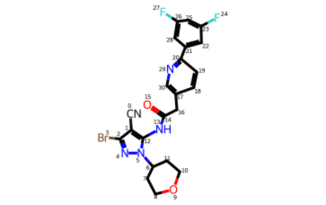 N#Cc1c(Br)nn(C2CCOCC2)c1NC(=O)Cc1ccc(-c2cc(F)cc(F)c2)nc1